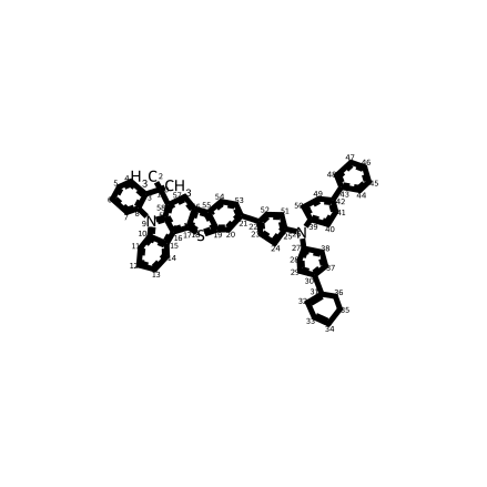 CC1(C)c2ccccc2-n2c3ccccc3c3c4sc5cc(-c6ccc(N(c7ccc(C8=CC=CCC8)cc7)c7ccc(-c8ccccc8)cc7)cc6)ccc5c4cc1c32